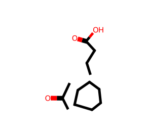 C1CCCCC1.CC(C)=O.CCCC(=O)O